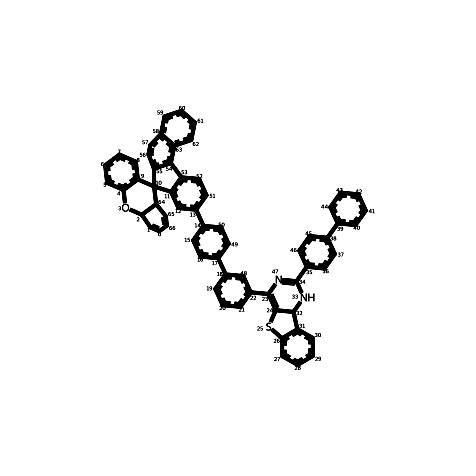 C1=CC2Oc3ccccc3C3(c4cc(-c5ccc(-c6cccc(C7=C8Sc9ccccc9C8NC(c8ccc(-c9ccccc9)cc8)=N7)c6)cc5)ccc4-c4c3ccc3ccccc43)C2C=C1